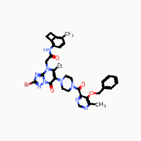 CCc1c(N2CCN(C(=O)c3ncnc(C)c3OCc3ccccc3)CC2)c(=O)n2nc(Br)nc2n1CC(=O)Nc1ccc(C(F)(F)F)c2c1CC2